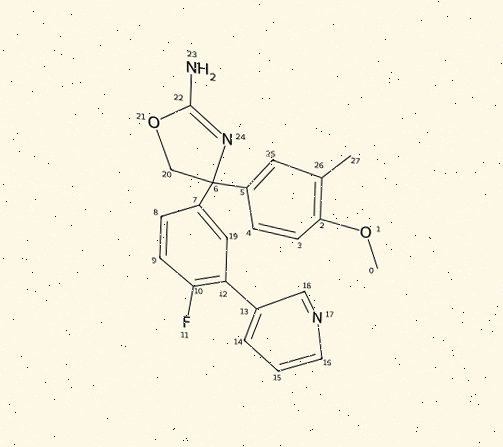 COc1ccc(C2(c3ccc(F)c(-c4cccnc4)c3)COC(N)=N2)cc1C